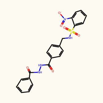 O=C(NNC(=O)c1ccc(CNS(=O)(=O)c2ccccc2[N+](=O)[O-])cc1)c1ccccc1